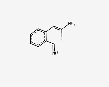 N=Cc1ccccc1/C=C(/N)I